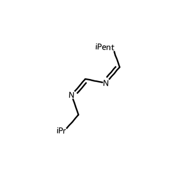 CCCC(C)/C=N\C=N/CC(C)C